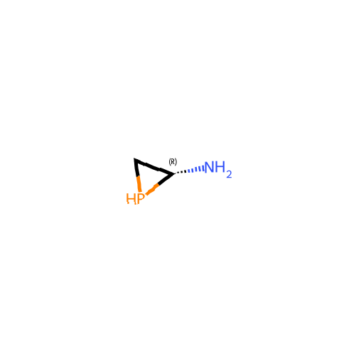 N[C@H]1CP1